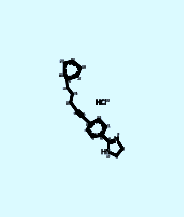 C(#Cc1ccc(C2=NCCN2)cc1)CCCc1ccccc1.Cl